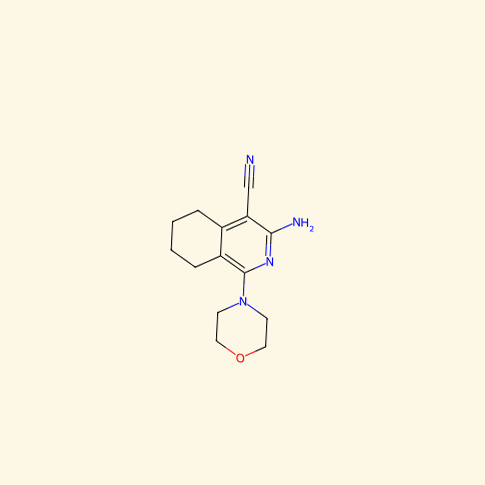 N#Cc1c(N)nc(N2CCOCC2)c2c1CCCC2